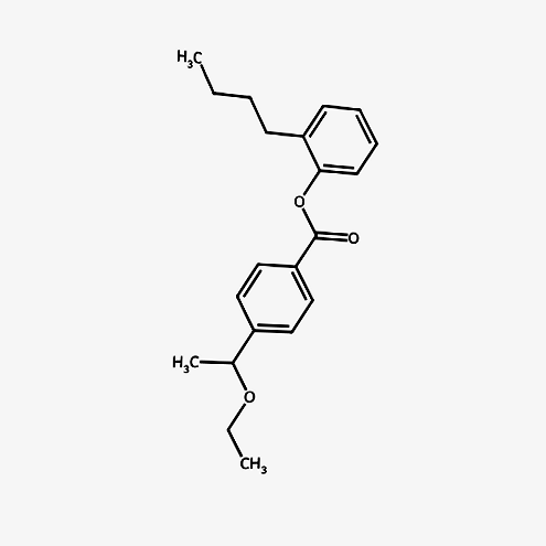 CCCCc1ccccc1OC(=O)c1ccc(C(C)OCC)cc1